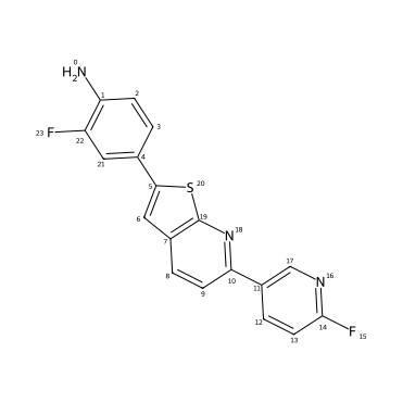 Nc1ccc(-c2cc3ccc(-c4ccc(F)nc4)nc3s2)cc1F